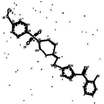 Cc1ccccc1C(=O)c1cnc(NCC2CCN(S(=O)(=O)c3ccc(OC(F)(F)F)cc3)CC2)s1